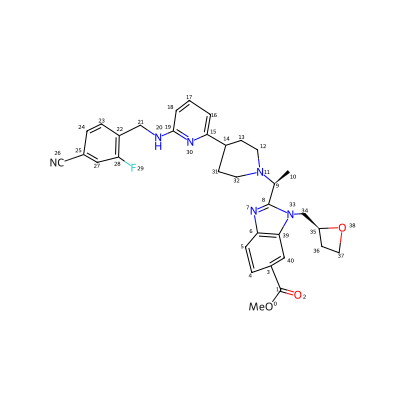 COC(=O)c1ccc2nc([C@H](C)N3CCC(c4cccc(NCc5ccc(C#N)cc5F)n4)CC3)n(C[C@@H]3CCO3)c2c1